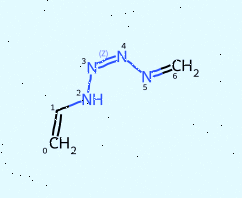 C=CN/N=N\N=C